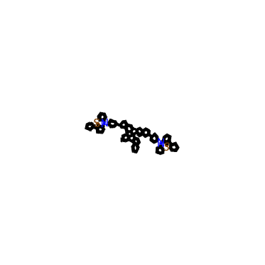 c1ccc(N(c2ccc(-c3ccc4cc5c(cc4c3)C3(c4cc6cc(-c7ccc(N(c8ccccc8)c8cccc9c8sc8ccccc89)cc7)ccc6cc4-5)c4ccccc4-c4c3ccc3ccccc43)cc2)c2cccc3c2sc2ccccc23)cc1